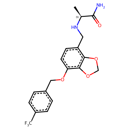 C[C@H](NCc1ccc(OCc2ccc(C(F)(F)F)cc2)c2c1OCO2)C(N)=O